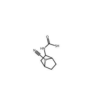 N#CN1C2CCC1C(NC(=O)S)C2